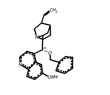 C=CC1CN2CCC1CC2[C@H](OCc1ccccc1)c1ccnc2ccc(OC)cc12